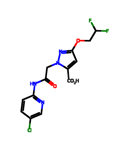 O=C(Cn1nc(OCC(F)F)cc1C(=O)O)Nc1ccc(Cl)cn1